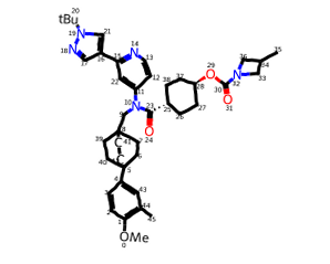 COc1ccc(C23CCC(CN(c4ccnc(-c5cnn(C(C)(C)C)c5)c4)C(=O)[C@H]4CC[C@H](OC(=O)N5CC(C)C5)CC4)(CC2)CC3)cc1C